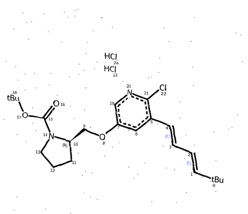 CC(C)(C)/C=C/C=C/c1cc(OC[C@H]2CCCN2C(=O)OC(C)(C)C)cnc1Cl.Cl.Cl